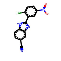 N#Cc1ccc2[nH]c(-c3cc([N+](=O)[O-])ccc3Cl)nc2c1